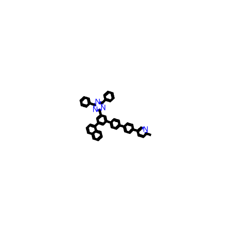 Cc1ccc(-c2ccc(-c3ccc(-c4cc(-c5nc(-c6ccccc6)nc(-c6ccccc6)n5)cc(-c5cccc6ccccc56)c4)cc3)cc2)cn1